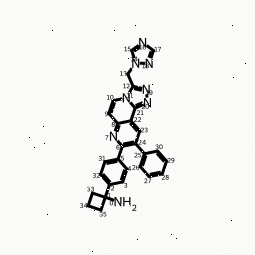 NC1(c2ccc(-c3nc4ccn5c(Cn6cncn6)nnc5c4cc3-c3ccccc3)cc2)CCC1